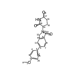 COc1ccc(-c2ccc3c(c2)CN(C2CCC(=O)NC2=O)C3=O)nc1